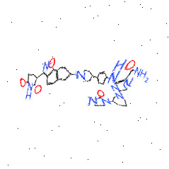 CN1CCN(C2CCCN(c3cnc(C(N)=O)c(Nc4ccc(C5CCN(C6Cc7ccc8c(C9CCC(=O)NC9=O)noc8c7C6)CC5)cc4)n3)C2)C1=O